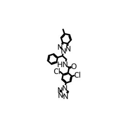 Cc1ccc2nn(C(CNC(=O)c3c(Cl)cc(-n4cnnn4)cc3Cl)c3ccccc3)nc2c1